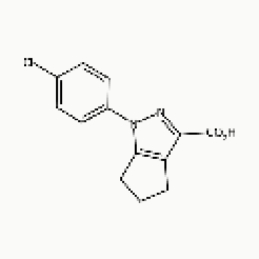 O=C(O)c1nn(-c2ccc(Cl)cc2)c2c1CCC2